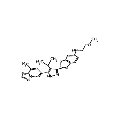 COCCNc1ccc2nc(-c3n[nH]c(-c4cc(C)c5ncnn5c4)c3C(C)C)sc2c1